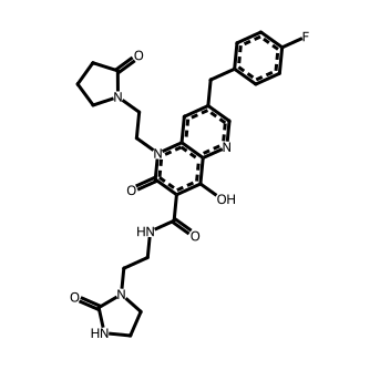 O=C(NCCN1CCNC1=O)c1c(O)c2ncc(Cc3ccc(F)cc3)cc2n(CCN2CCCC2=O)c1=O